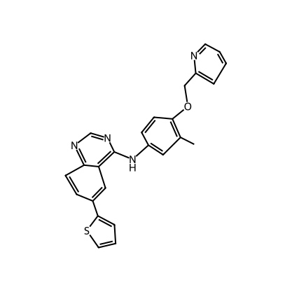 Cc1cc(Nc2ncnc3ccc(-c4cccs4)cc23)ccc1OCc1ccccn1